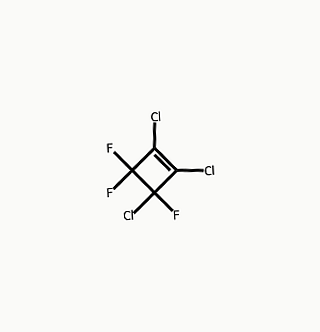 FC1(F)C(Cl)=C(Cl)C1(F)Cl